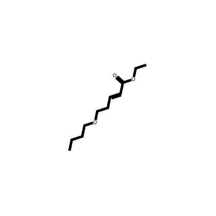 CCCCOCC/C=C/C(=O)OCC